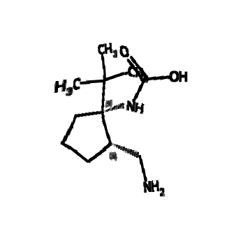 CC(C)(C)[C@]1(NC(=O)O)CCC[C@H]1CN